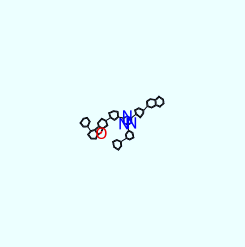 c1ccc(-c2cccc(-c3nc(-c4ccc(-c5ccc6ccccc6c5)cc4)nc(-c4cccc(-c5ccc6c(c5)oc5cccc(-c7ccccc7)c56)c4)n3)c2)cc1